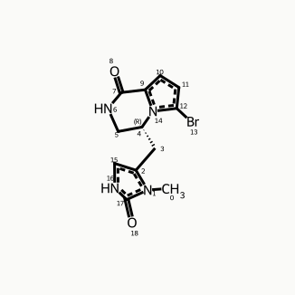 Cn1c(C[C@@H]2CNC(=O)c3ccc(Br)n32)c[nH]c1=O